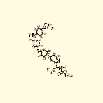 CC(C)(C)OC(=O)NC(c1cc(-c2ccc(S[C@H]3CC[C@H](Nc4ccc(C(F)(F)F)cn4)CC3)cc2)ccn1)C(F)(F)F